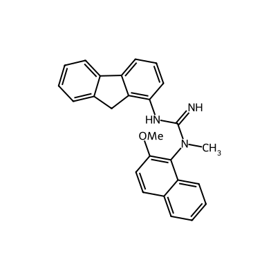 COc1ccc2ccccc2c1N(C)C(=N)Nc1cccc2c1Cc1ccccc1-2